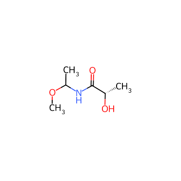 COC(C)NC(=O)[C@H](C)O